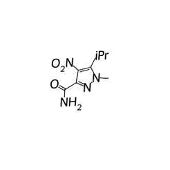 CC(C)c1c([N+](=O)[O-])c(C(N)=O)nn1C